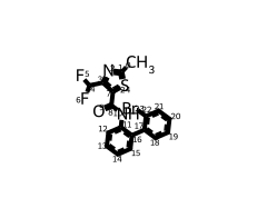 Cc1nc(C(F)F)c(C(=O)Nc2ccccc2-c2ccccc2Br)s1